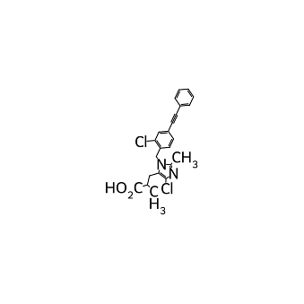 Cc1nc(Cl)c(CC(C)C(=O)O)n1Cc1ccc(C#Cc2ccccc2)cc1Cl